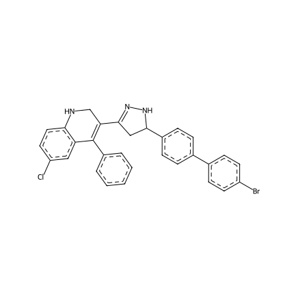 Clc1ccc2c(c1)C(c1ccccc1)=C(C1=NNC(c3ccc(-c4ccc(Br)cc4)cc3)C1)CN2